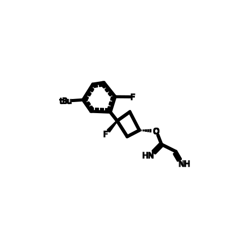 CC(C)(C)c1ccc(F)c([C@]2(F)C[C@H](OC(=N)C=N)C2)c1